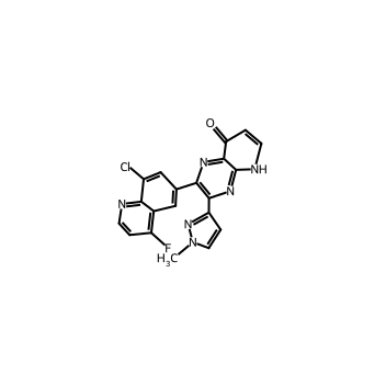 Cn1ccc(-c2nc3[nH]ccc(=O)c3nc2-c2cc(Cl)c3nccc(F)c3c2)n1